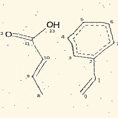 C=Cc1ccccc1.CC=CC(=O)O